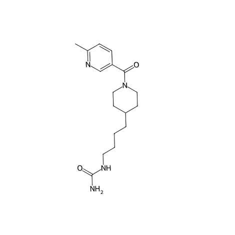 Cc1ccc(C(=O)N2CCC(CCCCNC(N)=O)CC2)cn1